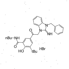 Br.CCCCNC(=O)c1cc(C(=O)Cn2c(=N)n(Cc3ccccc3)c3ccccc32)cc(C(C)(C)C)c1O